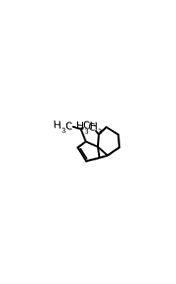 CC(C)C1C=CC2C3CCCC(C)C123